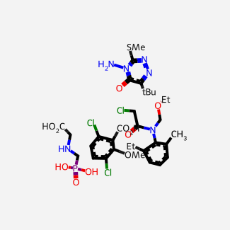 CCOCN(C(=O)CCl)c1c(C)cccc1CC.COc1c(Cl)ccc(Cl)c1C(=O)O.CSc1nnc(C(C)(C)C)c(=O)n1N.O=C(O)CNCP(=O)(O)O